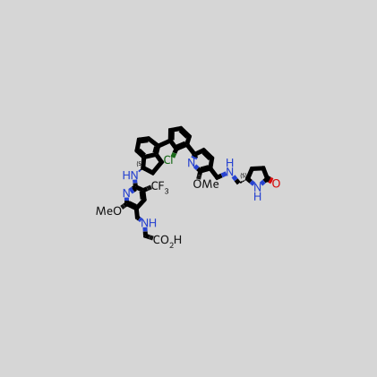 COc1nc(-c2cccc(-c3cccc4c3CC[C@@H]4Nc3nc(OC)c(CNCC(=O)O)cc3C(F)(F)F)c2Cl)ccc1CNC[C@@H]1CCC(=O)N1